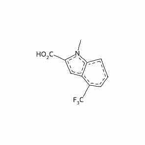 Cn1c(C(=O)O)cc2c(C(F)(F)F)cccc21